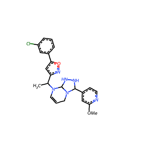 COc1cc(C2NNC3N(C(C)c4cc(-c5cccc(Cl)c5)on4)C=CCN23)ccn1